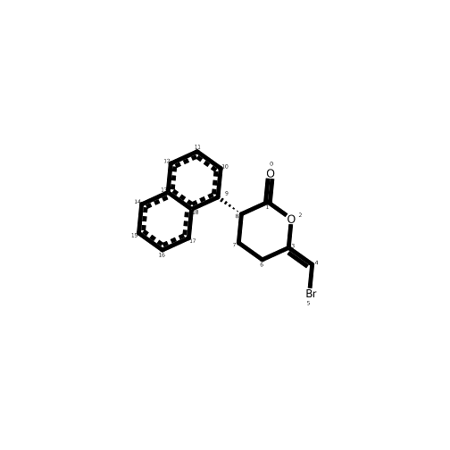 O=C1O/C(=C/Br)CC[C@@H]1c1cccc2ccccc12